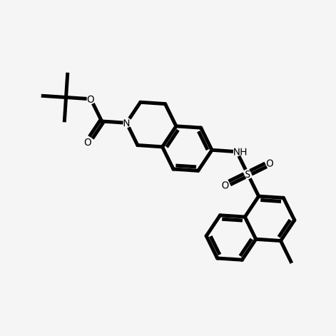 Cc1ccc(S(=O)(=O)Nc2ccc3c(c2)CCN(C(=O)OC(C)(C)C)C3)c2ccccc12